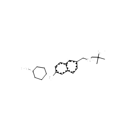 CC(C)(CNCc1ccc2cc(O[C@H]3CC[C@H](C(C)(C)C)CC3)ccc2c1)C(=O)O